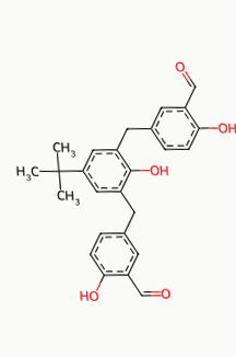 CC(C)(C)c1cc(Cc2ccc(O)c(C=O)c2)c(O)c(Cc2ccc(O)c(C=O)c2)c1